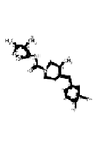 Cc1noc(NC(=O)N2CCC(=Cc3ccc(F)c(F)c3)C(C)C2)c1C